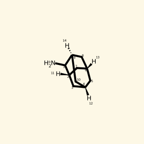 NC1[C@H]2C[C@H]3C[C@H](C2)C[C@H]1C3